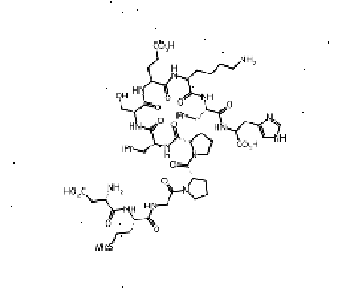 CSCC[C@H](NC(=O)[C@@H](N)CC(=O)O)C(=O)NCC(=O)N1CCC[C@H]1C(=O)N1CCC[C@H]1C(=O)N[C@@H](CC(C)C)C(=O)N[C@@H](CO)C(=O)N[C@@H](CCC(=O)O)C(=O)N[C@@H](CCCCN)C(=O)N[C@@H](CC(C)C)C(=O)N[C@@H](Cc1c[nH]cn1)C(=O)O